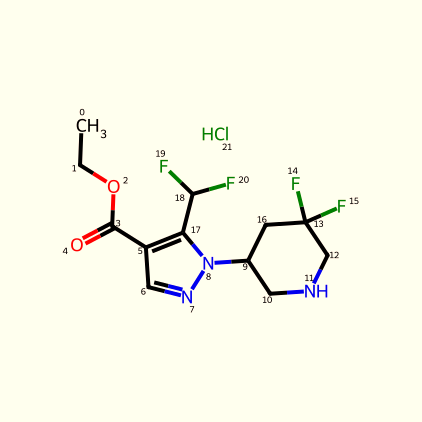 CCOC(=O)c1cnn(C2CNCC(F)(F)C2)c1C(F)F.Cl